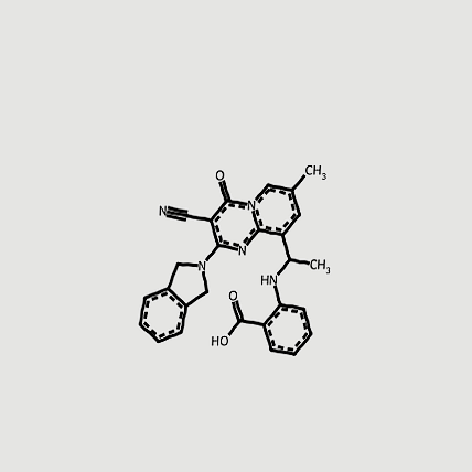 Cc1cc(C(C)Nc2ccccc2C(=O)O)c2nc(N3Cc4ccccc4C3)c(C#N)c(=O)n2c1